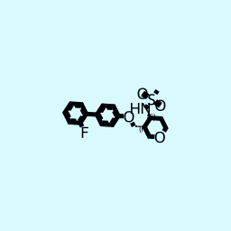 CS(=O)(=O)N[C@H]1CCOC[C@@H]1COc1ccc(-c2ccccc2F)cc1